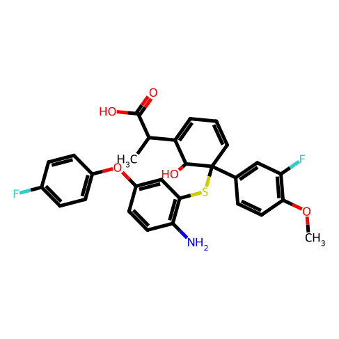 COc1ccc(C2(Sc3cc(Oc4ccc(F)cc4)ccc3N)C=CC=C(C(C)C(=O)O)C2O)cc1F